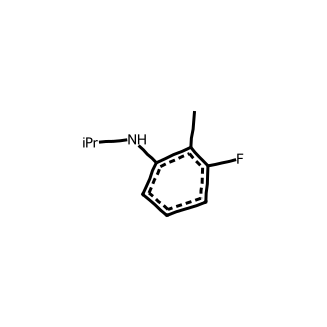 Cc1c(F)cccc1NC(C)C